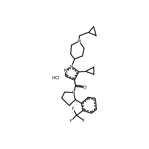 Cl.O=C(c1cnn(C2CCN(CC3CC3)CC2)c1C1CC1)N1CCCC1c1ccccc1C(F)(F)F